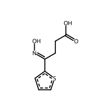 O=C(O)CCC(=NO)c1cccs1